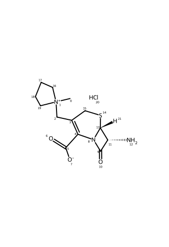 C[N+]1(CC2=C(C(=O)[O-])N3C(=O)[C@@H](N)[C@H]3SC2)CCCC1.Cl